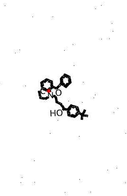 CC(C)(C)c1ccc(C(O)CCC(OC(c2ccccc2)c2ccccc2)N2CCCCC2)cc1